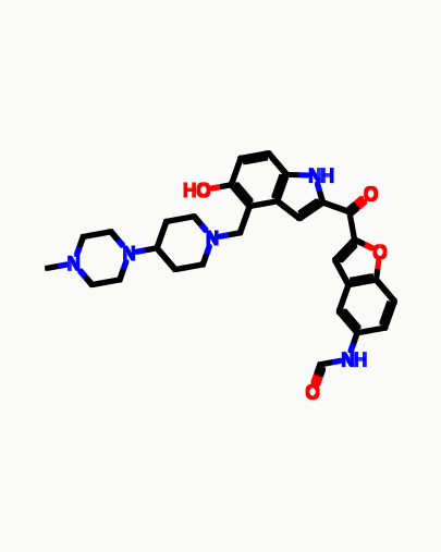 CN1CCN(C2CCN(Cc3c(O)ccc4[nH]c(C(=O)c5cc6cc(NC=O)ccc6o5)cc34)CC2)CC1